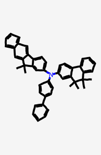 CC1(C)c2cc(N(c3ccc(-c4ccccc4)cc3)c3ccc4c(c3)C(C)(C)C(C)(C)c3ccccc3-4)ccc2-c2cc3ccccc3cc21